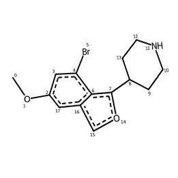 COc1cc(Br)c2c(C3CCNCC3)occ2c1